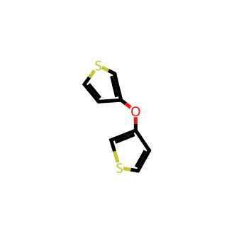 c1cc(Oc2ccsc2)cs1